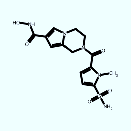 Cn1c(C(=O)N2CCn3cc(C(=O)NO)cc3C2)ccc1S(N)(=O)=O